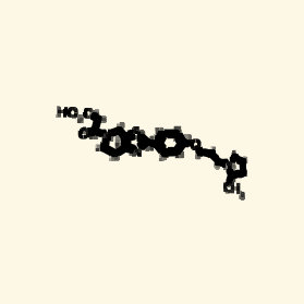 CC1CCCN1CCCOc1ccc(-c2nc3c(s2)CN(C(=O)CC(=O)O)CC3)cc1